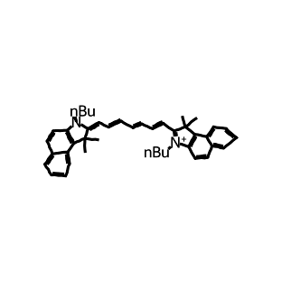 CCCCN1C(=CC=CC=CC=CC2=[N+](CCCC)c3ccc4ccccc4c3C2(C)C)C(C)(C)c2c1ccc1ccccc21